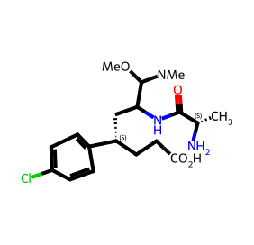 CNC(OC)C(C[C@H](CCC(=O)O)c1ccc(Cl)cc1)NC(=O)[C@H](C)N